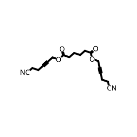 N#CCCC#CCOC(=O)CCCCC(=O)OCC#CCCC#N